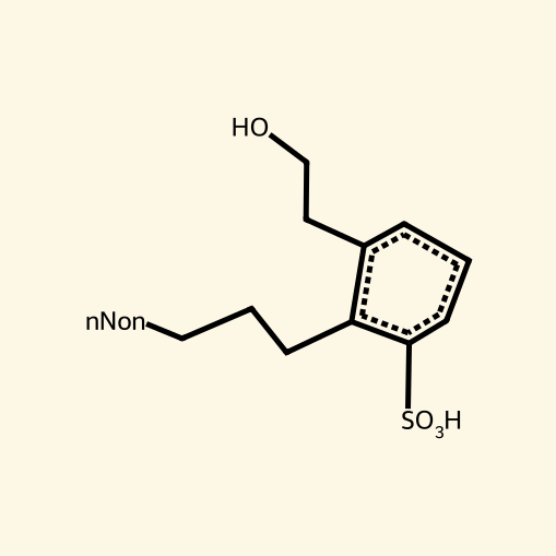 CCCCCCCCCCCCc1c(CCO)cccc1S(=O)(=O)O